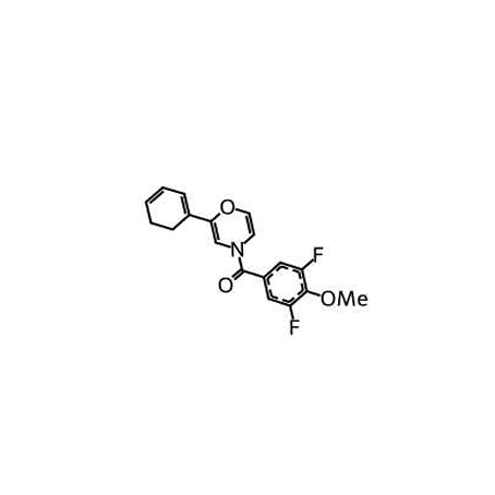 COc1c(F)cc(C(=O)N2C=COC(C3=CC=CCC3)=C2)cc1F